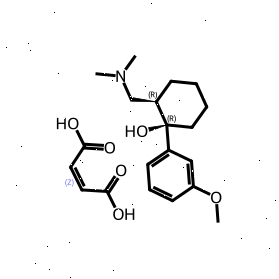 COc1cccc([C@@]2(O)CCCC[C@@H]2CN(C)C)c1.O=C(O)/C=C\C(=O)O